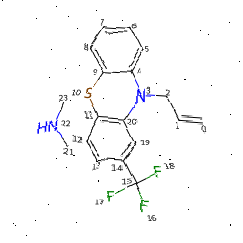 C=CCN1c2ccccc2Sc2ccc(C(F)(F)F)cc21.CNC